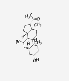 CC(=O)[C@H]1CC[C@H]2[C@@H]3C(Br)C=C4C[C@@H](O)CC[C@]4(C)[C@H]3CC[C@]12C